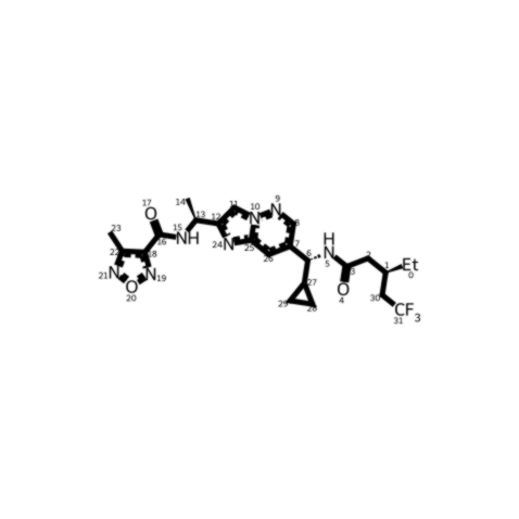 CC[C@H](CC(=O)N[C@@H](c1cnn2cc([C@H](C)NC(=O)c3nonc3C)nc2c1)C1CC1)CC(F)(F)F